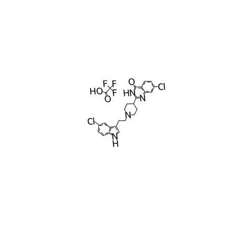 O=C(O)C(F)(F)F.O=c1[nH]c(C2CCN(CCc3c[nH]c4ccc(Cl)cc34)CC2)nc2cc(Cl)ccc12